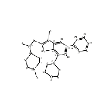 Cc1c(CN(C)C2CCN(C)CC2)sc2c(N3CCOCC3)nc(-c3cccnc3)nc12